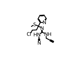 C#CCNC(=NC(CCCl)(SC)c1ccccn1)NC#N